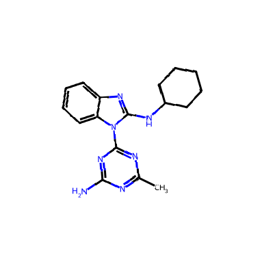 Cc1nc(N)nc(-n2c(NC3CCCCC3)nc3ccccc32)n1